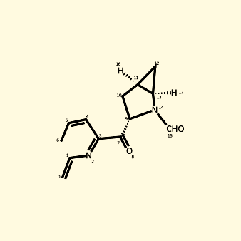 C=C/N=C(\C=C/C)C(=O)[C@@H]1C[C@H]2C[C@H]2N1C=O